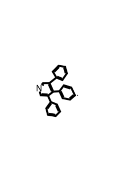 [c]1ccc(-c2c(-c3ccccc3)cncc2-c2ccccc2)cc1